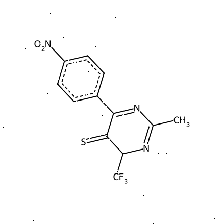 CC1=NC(C(F)(F)F)C(=S)C(c2ccc([N+](=O)[O-])cc2)=N1